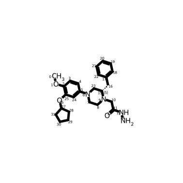 COc1ccc(N2CCN(CC(=O)NN)[C@@H](Cc3ccccc3)C2)cc1OC1CCCC1